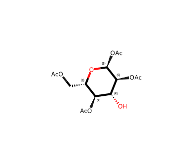 CC(=O)OC[C@@H]1O[C@@H](OC(C)=O)[C@@H](OC(C)=O)[C@H](O)[C@H]1OC(C)=O